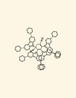 N#CC1=C(n2c3ccc(-c4ccccc4)cc3c3cc(-c4ccccc4)ccc32)C(n2c3ccc(-c4ccccc4)cc3c3cc(-c4ccccc4)ccc32)=C(n2c3ccc(-c4ccccc4)cc3c3cc(-c4ccccc4)ccc32)C(C#N)(n2c3ccc(-c4ccccc4)cc3c3cc(-c4ccccc4)ccc32)C1